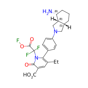 CCc1cc(C(=O)O)c(=O)n(C(F)(F)C(=O)OF)c1-c1ccc(N2C[C@H]3CCC[C@@H](N)[C@H]3C2)cc1